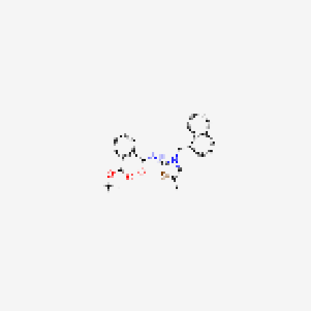 Cc1cn(Cc2cccc3ccccc23)/c(=N/C(=O)c2ccccc2C(=O)OC(C)(C)C)s1